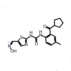 Cc1ccc(NC(=O)Nc2ncc(/C=N\O)s2)c(C(=O)C2CCCC2)c1